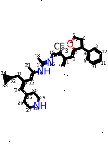 C=C(/C=C1\OCCC1c1ccccc1)/C(=C\N=C(/C)N/C(C)=C/C(=C\C1CCNCC1)CC1=C=C1)C(F)(F)F